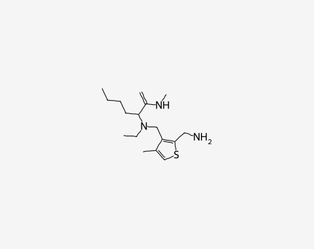 C=C(NC)C(CCCC)N(CC)Cc1c(C)csc1CN